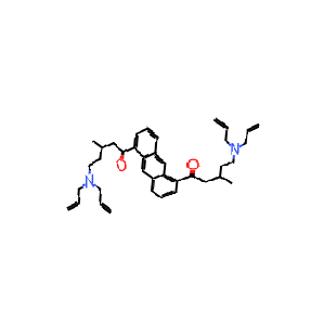 C=CCN(CC=C)CCC(C)CC(=O)c1cccc2cc3c(C(=O)CC(C)CCN(CC=C)CC=C)cccc3cc12